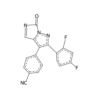 N#Cc1ccc(-c2c(-c3ccc(F)cc3F)nn3c2C=NC3=O)cc1